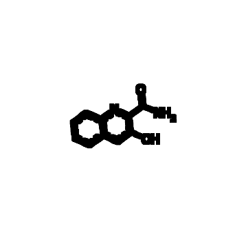 NC(=O)c1nc2ccccc2cc1O